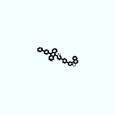 c1ccc(-c2ccc(-c3c4ccccc4c(-c4ccc(-c5ccc(-c6ccc7oc8ccc9ccccc9c8c7c6)cc5)cn4)c4ccccc34)cc2)cc1